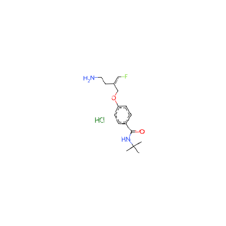 CC(C)(C)NC(=O)c1ccc(OC/C(=C\F)CCN)cc1.Cl